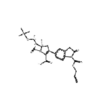 C=CCOC(=O)N1C(=O)Cc2cc(C3=C(C(=O)O)N4C(=O)[C@H]([C@@H](C)O[Si](C)(C)C)[C@H]4C3)ccc21